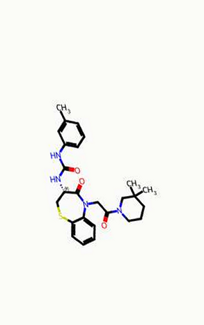 Cc1cccc(NC(=O)N[C@H]2CSc3ccccc3N(CC(=O)N3CCCC(C)(C)C3)C2=O)c1